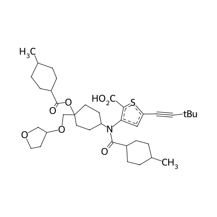 CC1CCC(C(=O)OC2(COC3CCOC3)CCC(N(C(=O)C3CCC(C)CC3)c3cc(C#CC(C)(C)C)sc3C(=O)O)CC2)CC1